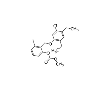 CCc1cc(CC)c(OCc2c(I)cccc2OC(=O)OC)cc1Cl